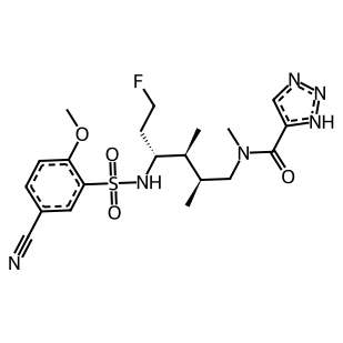 COc1ccc(C#N)cc1S(=O)(=O)N[C@H](CCF)[C@@H](C)[C@H](C)CN(C)C(=O)c1cnn[nH]1